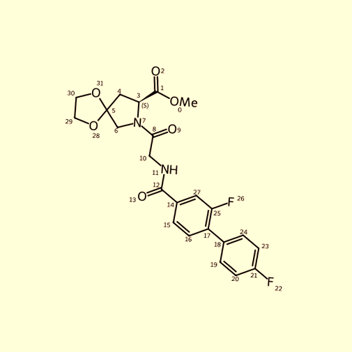 COC(=O)[C@@H]1CC2(CN1C(=O)CNC(=O)c1ccc(-c3ccc(F)cc3)c(F)c1)OCCO2